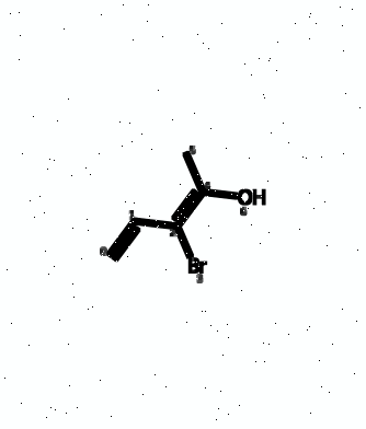 C=C/C(Br)=C(\C)O